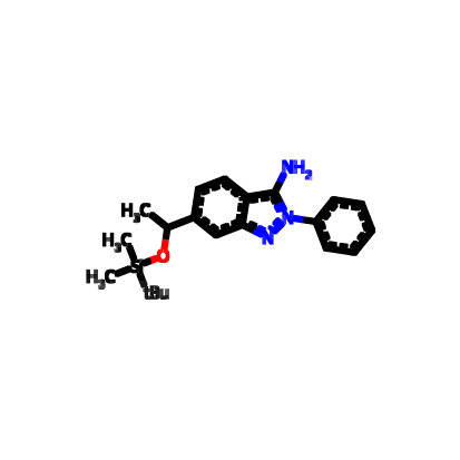 CC(O[Si](C)(C)C(C)(C)C)c1ccc2c(N)n(-c3ccccc3)nc2c1